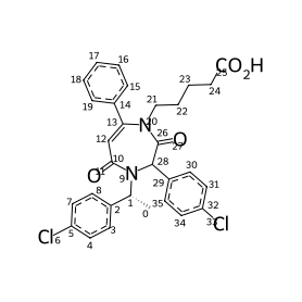 C[C@H](c1ccc(Cl)cc1)N1C(=O)C=C(c2ccccc2)N(CCCCC(=O)O)C(=O)C1c1ccc(Cl)cc1